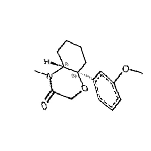 COc1cccc([C@@]23CCCC[C@H]2N(C)C(=O)CO3)c1